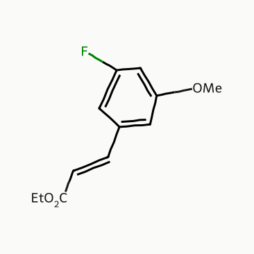 CCOC(=O)/C=C/c1cc(F)cc(OC)c1